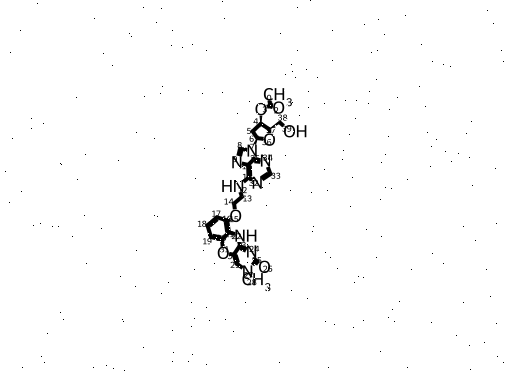 CC(=O)O[C@@H]1C[C@H](n2cnc3c(NCCOc4cccc5c4Nc4nc(=O)n(C)cc4O5)ncnc32)O[C@@H]1CO